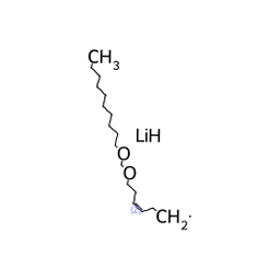 [CH2]C/C=C\CCOCOCCCCCCCCCC.[LiH]